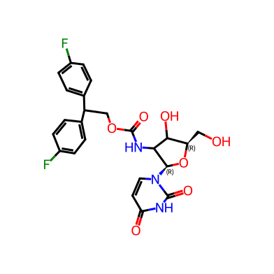 O=C(NC1C(O)[C@@H](CO)O[C@H]1n1ccc(=O)[nH]c1=O)OCC(c1ccc(F)cc1)c1ccc(F)cc1